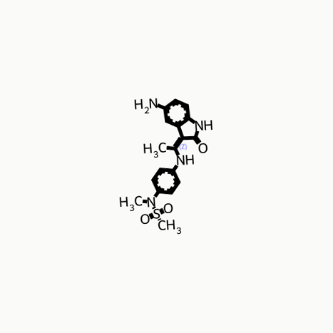 C/C(Nc1ccc(N(C)S(C)(=O)=O)cc1)=C1/C(=O)Nc2ccc(N)cc21